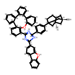 c1ccc2c(c1)oc1cc(-c3nc(-c4ccc(C56CCC7C[C@H](C[C@H]7C5)C6)cc4)nc(-c4cccc5c4oc4ccccc4c4ccccc4c4ccccc54)n3)ccc12